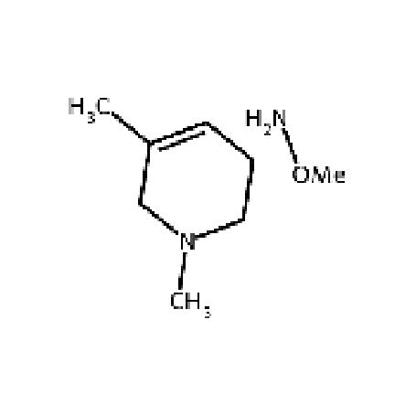 CC1=CCCN(C)C1.CON